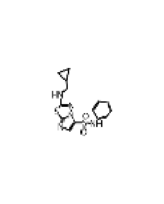 O=S(=O)(Nc1ccccc1)c1cnc2sc(NCC3CC3)nn12